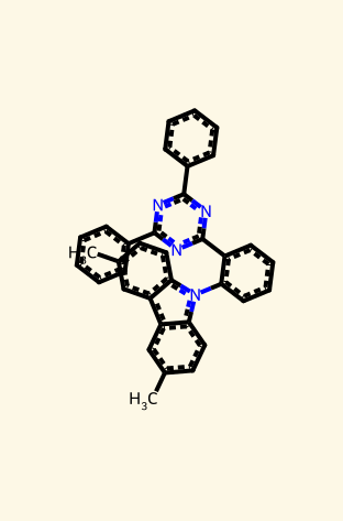 Cc1ccc2c(c1)c1cc(C)ccc1n2-c1ccccc1-c1nc(-c2ccccc2)nc(-c2ccccc2)n1